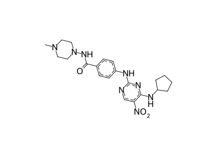 CN1CCN(NC(=O)c2ccc(Nc3ncc([N+](=O)[O-])c(NC4CCCC4)n3)cc2)CC1